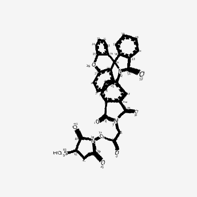 O=C(CN1C(=O)c2ccc(N3C(=O)c4ccccc4C34c3ccccc3Oc3ccccc34)cc2C1=O)ON1C(=O)CC(S(=O)(=O)O)C1=O